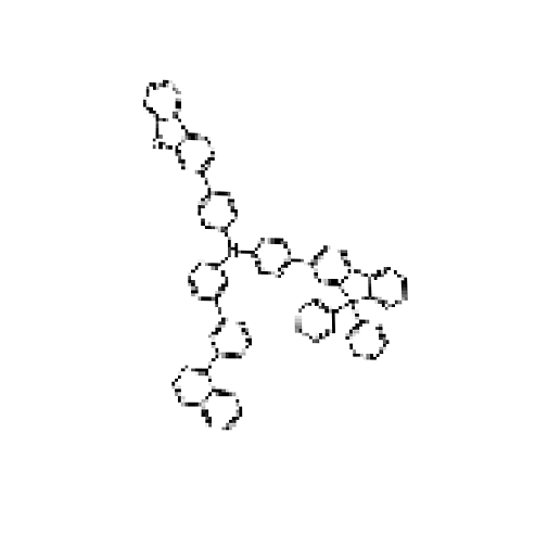 c1ccc(C2(c3ccccc3)c3ccccc3-c3ccc(-c4ccc(N(c5ccc(-c6ccc7c(c6)sc6ccccc67)cc5)c5cccc(-c6cccc(-c7cccc8ccccc78)c6)c5)cc4)cc32)cc1